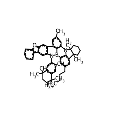 CCCCc1cc2c3c(c1)C1(C)CCCCC1(C)N3c1cc(C)cc3c1B2N(c1cc2c(cc1C)C(C)(C)CCC2(C)C)c1cc2c(cc1-3)oc1ccccc12